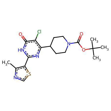 Cc1ncsc1-c1nc(C2CCN(C(=O)OC(C)(C)C)CC2)c(Cl)c(=O)[nH]1